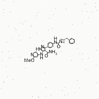 COc1cc(Nc2[nH]nc(-c3ccc(NC(=O)N4CC(Cc5ccccc5)C4)cc3)c2C(N)=O)ccn1